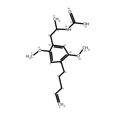 C=CCCCc1cc(OC)c(CC(C)NC(=O)O)cc1OC